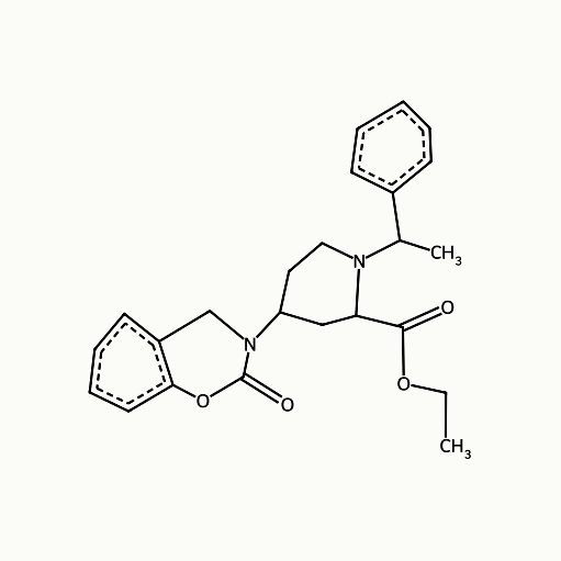 CCOC(=O)C1CC(N2Cc3ccccc3OC2=O)CCN1C(C)c1ccccc1